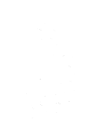 O=C(N1CC2(CC(n3cnc(C(F)(F)F)n3)C2)C1)N1CC2(CN(Cc3ccnn3CC(F)F)C2)C1